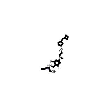 C=C/C=C(/NCc1c(F)cc(N(C)CCOC[C@@H]2CCC(CC3CCC3)C2)cc1F)[C@@H](C)O